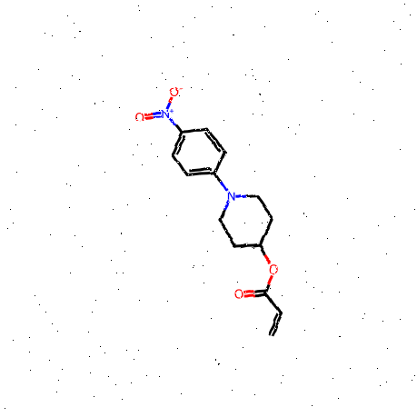 C=CC(=O)OC1CCN(c2ccc([N+](=O)[O-])cc2)CC1